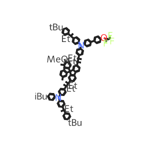 CCC(C)c1ccc(N(c2ccc(C(C)(CC)c3ccc(C(C)(C)C)cc3)cc2)c2ccc(C(C)(CC)C(C)(CC)c3ccc4c(c3)C(c3ccc(OC)c(C)c3)(c3cc(C)ccc3C)c3cc(C(C)(CC)C(C)(CC)c5ccc(N(c6ccc(-c7ccc(OC(F)=C(F)F)cc7)cc6)c6ccc(C(C)(CC)c7ccc(C(C)(C)C)cc7)cc6)cc5)ccc3-4)cc2)cc1